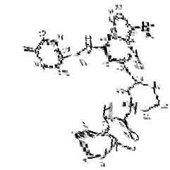 Cc1ccccc1NC(=O)N1CCCC(c2cc(NCc3cccnc3)n3ncc(Br)c3n2)C1